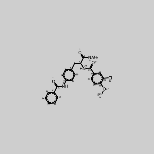 CNC(=O)C(Cc1ccc(NC(=O)c2ccccc2)cc1)NC(=O)c1ccc(OC(C)C)c(Cl)c1